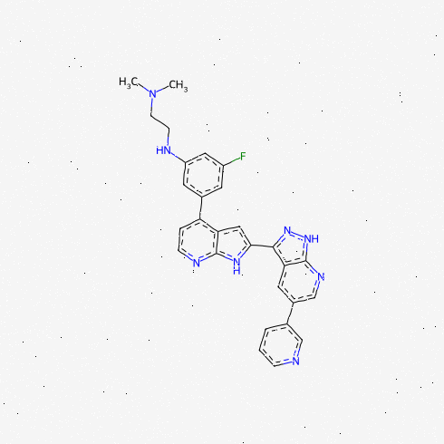 CN(C)CCNc1cc(F)cc(-c2ccnc3[nH]c(-c4n[nH]c5ncc(-c6cccnc6)cc45)cc23)c1